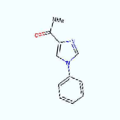 CNC(=O)c1cn(-c2ccccc2)cn1